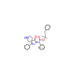 CC(C)(CCc1ccccc1)OC(=O)C(c1ccccc1)N1CN(c2ccccc2)C2(CCNCC2)C1=O